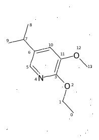 CCOc1ncc(C(C)C)cc1OC